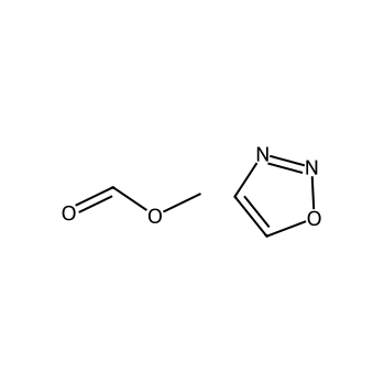 COC=O.c1conn1